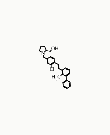 Cc1c(/C=C/c2ccc(CN3CCC[C@H]3CO)cc2Cl)cccc1-c1ccccc1